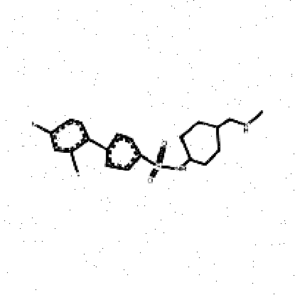 CNCC1CCC(NS(=O)(=O)c2ccc(-c3ccc(F)cc3F)cc2)CC1